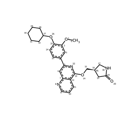 COc1cc(-c2cc3ncccc3c(OC[C@H]3CNC(=O)C3)n2)ccc1OC1CCCCC1